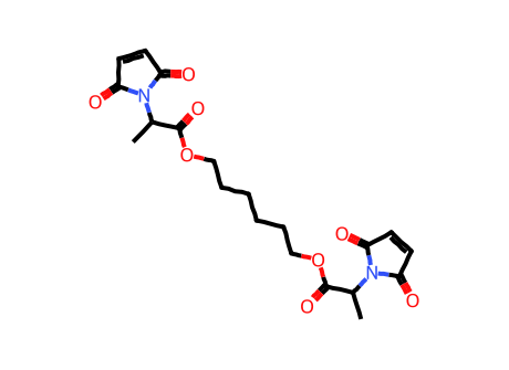 CC(C(=O)OCCCCCCOC(=O)C(C)N1C(=O)C=CC1=O)N1C(=O)C=CC1=O